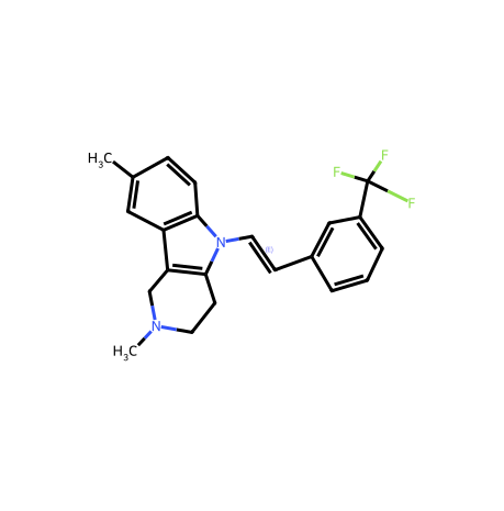 Cc1ccc2c(c1)c1c(n2/C=C/c2cccc(C(F)(F)F)c2)CCN(C)C1